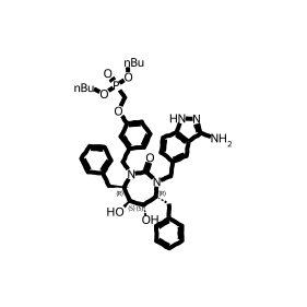 CCCCOP(=O)(COc1cccc(CN2C(=O)N(Cc3ccc4[nH]nc(N)c4c3)[C@H](Cc3ccccc3)[C@H](O)[C@@H](O)[C@H]2Cc2ccccc2)c1)OCCCC